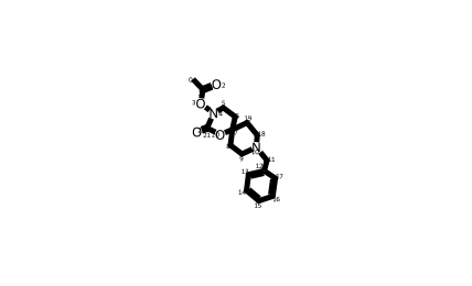 CC(=O)ON1CCC2(CCN(Cc3ccccc3)CC2)OC1=O